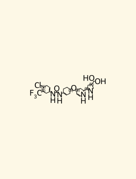 O=C(NC1=CC[C@@H](O[C@@H]2C=CNC([C@H]3C[C@@H](C(O)O)CN3)C2)CC1)NC1=CC[C@H](Cl)[C@H](C(F)(F)F)C1